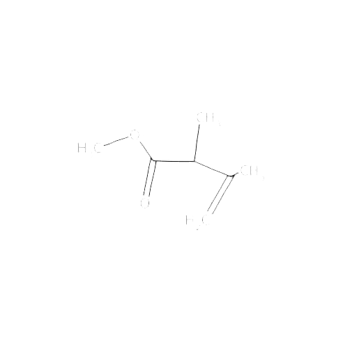 C=C(C)C(C)C(=O)OC